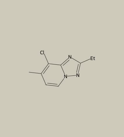 CCc1nc2c(Cl)c(C)ccn2n1